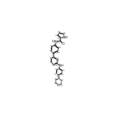 O=C(Nc1ccc(-c2ccnc(Nc3ccc(N4CCOCC4)cc3)n2)cc1)c1ccc[nH]1